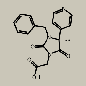 C[C@]1(c2ccncc2)C(=O)N(CC(=O)O)C(=O)N1Cc1ccccc1